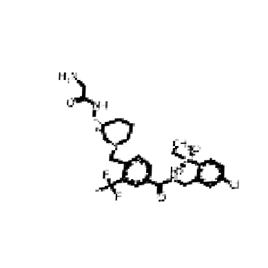 CCS(=O)(=O)c1ccc(Cl)cc1CNC(=O)c1ccc(CN2CCC[C@@H](CNC(=O)CN)C2)c(C(F)(F)F)c1